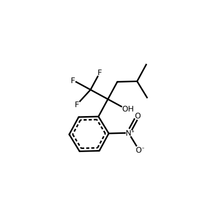 CC(C)CC(O)(c1ccccc1[N+](=O)[O-])C(F)(F)F